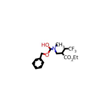 CCOC(=O)C(CN(C)C(O)OCc1ccccc1)CC(F)(F)F